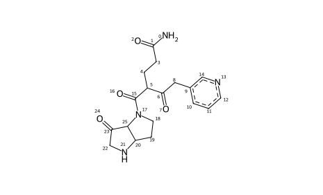 NC(=O)CCC(C(=O)Cc1cccnc1)C(=O)N1CCC2NCC(=O)C21